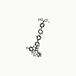 OC(c1ccc(N2CCN(c3ccc(-c4ccc(C(F)(F)[C@](O)(Cn5cnnn5)c5ccc(F)cc5F)nc4)cc3)CC2)cc1)C(F)(F)F